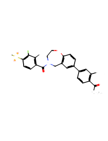 CCc1c(C(=O)N2CCOc3ccc(-c4ccc(C(=O)NC)c(C)c4)cc3C2)ccc(S(C)(=O)=O)c1F